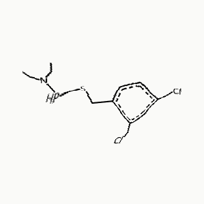 CN(C)PSCc1ccc(Cl)cc1Cl